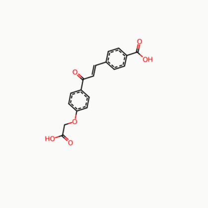 O=C(O)COc1ccc(C(=O)/C=C/c2ccc(C(=O)O)cc2)cc1